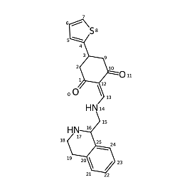 O=C1CC(c2cccs2)CC(=O)C1=CNCC1NCCc2ccccc21